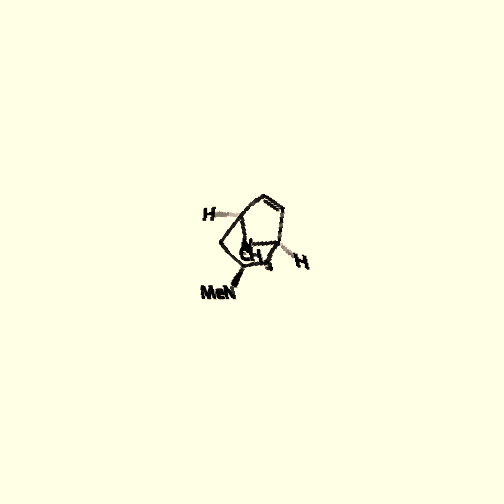 CN[C@H]1C[C@H]2C=C[C@@H](C1)N2C